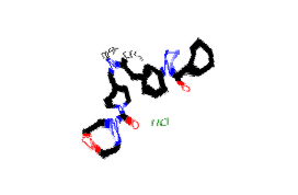 CCCN(CC1CCN(C(=O)N2CCOCC2)CC1)C(C)Cc1cccc(NC(=O)C2CCCCC2)c1.Cl